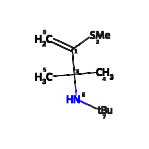 C=C(SC)C(C)(C)NC(C)(C)C